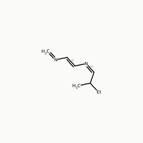 C=N/C=C/N=C\C(C)CC